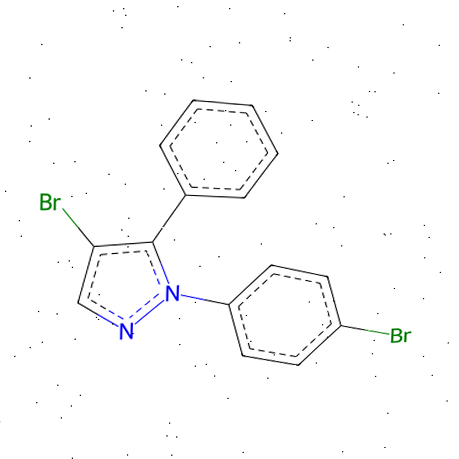 Brc1ccc(-n2ncc(Br)c2-c2ccccc2)cc1